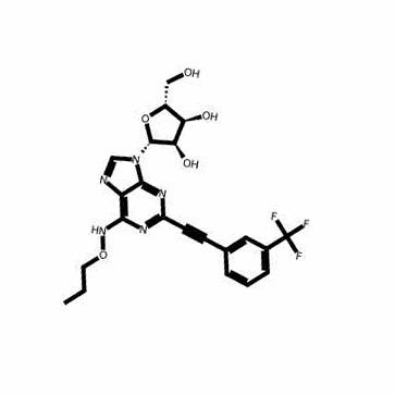 CCCONc1nc(C#Cc2cccc(C(F)(F)F)c2)nc2c1ncn2[C@@H]1O[C@H](CO)[C@@H](O)[C@H]1O